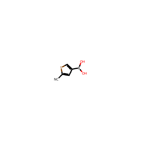 N#Cc1cc(B(O)O)cs1